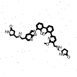 COc1nc(-c2cccc(-c3cccc(-n4cc5cc(CNCC6CNC(=O)C6)cnc5n4)c3Cl)c2Cl)ccc1CNC[C@@H]1CCC(=O)N1